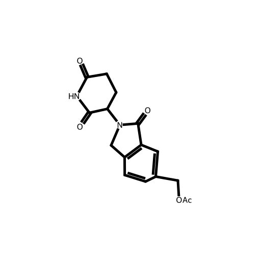 CC(=O)OCc1ccc2c(c1)C(=O)N(C1CCC(=O)NC1=O)C2